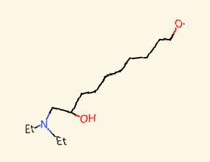 CCN(CC)CC(O)CCCCCCCC[O]